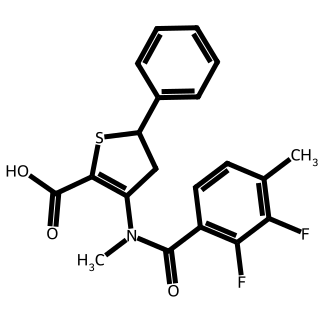 Cc1ccc(C(=O)N(C)C2=C(C(=O)O)SC(c3ccccc3)C2)c(F)c1F